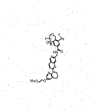 COCCOc1cnc2c(c1)CCCN2c1ccc2cnc(CNC(=O)c3cc(C(F)F)c4c(c3)S(=O)(=O)[C@@H](F)COC4)cc2n1